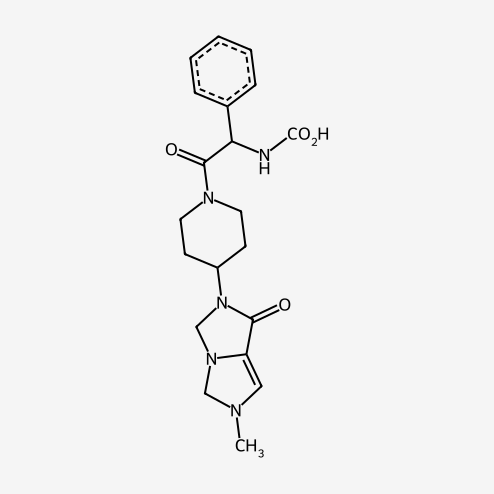 CN1C=C2C(=O)N(C3CCN(C(=O)C(NC(=O)O)c4ccccc4)CC3)CN2C1